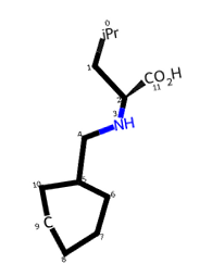 CC(C)C[C@H](NCC1CCCCC1)C(=O)O